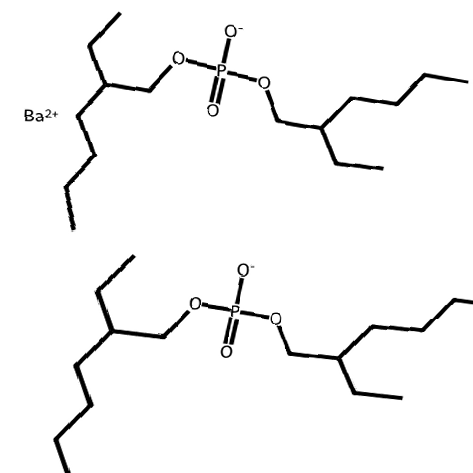 CCCCC(CC)COP(=O)([O-])OCC(CC)CCCC.CCCCC(CC)COP(=O)([O-])OCC(CC)CCCC.[Ba+2]